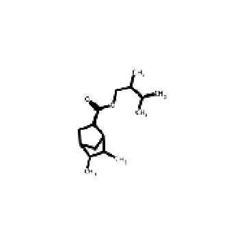 CC(C)C(C)COC(=O)C1CC2CC1C(C)C2C